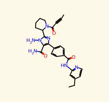 CC#CC(=O)N1CCCCC1c1nc(-c2ccc(C(=O)Nc3cc(CC)ccn3)cc2)c(C(N)=O)n1N